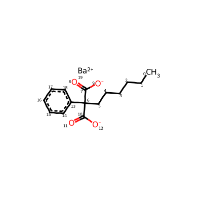 CCCCCCC(C(=O)[O-])(C(=O)[O-])c1ccccc1.[Ba+2]